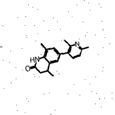 Cc1ccc(-c2cc(C)c3c(c2)C(C)CC(=O)N3)c(C)n1